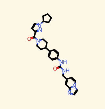 O=C(NCc1ccn2ccnc2c1)Nc1ccc(C2CCN(C(=O)c3ccn(C4CCCC4)n3)CC2)cc1